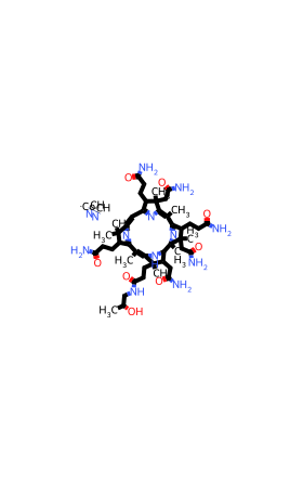 C#N.C#N.CC1=C2N=C(C=C3N=C(C(C)=C4NC(C(CC(N)=O)C4(C)CCC(=O)NCC(C)O)C4(C)N=C1C(CCC(N)=O)C4(C)CC(N)=O)C(CCC(N)=O)C3(C)C)C(CCC(N)=O)C2(C)CC(N)=O.[Co]